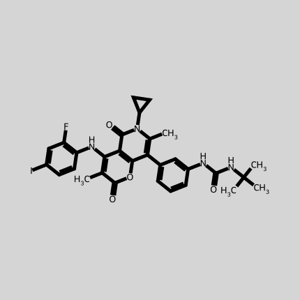 Cc1c(Nc2ccc(I)cc2F)c2c(=O)n(C3CC3)c(C)c(-c3cccc(NC(=O)NC(C)(C)C)c3)c2oc1=O